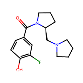 O=C(c1ccc(O)c(F)c1)N1CCC[C@H]1CN1CCCC1